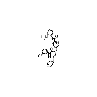 Nc1ccccc1NC(=O)c1ccc(CN(CCCN2CCOCC2)C(=O)Nc2cccc(Cl)c2)cn1